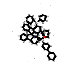 c1ccc(-c2ccc(N(c3ccccc3)c3ccc4c(c3)C3(c5ccccc5-4)c4ccccc4-c4c(N(c5ccccc5)c5ccccc5)cc5ccccc5c43)cc2)cc1